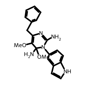 COC1=C(Cc2ccccc2)N=C(N)N(c2ccc3[nH]ccc3c2)C1(N)OC